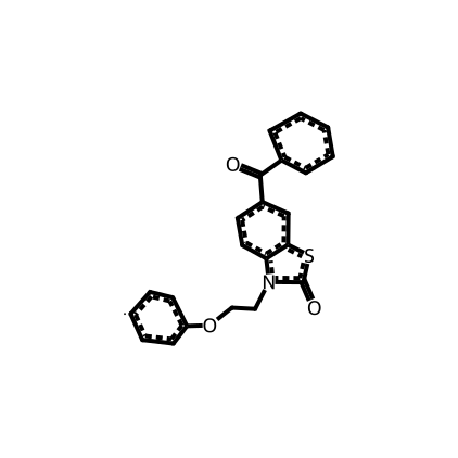 O=C(c1ccccc1)c1ccc2c(c1)sc(=O)n2CCOc1cc[c]cc1